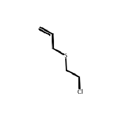 C=CCSCCCl